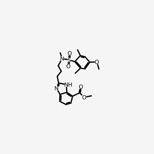 COC(=O)c1cccc2nc(CCCN(C)S(=O)(=O)c3c(C)cc(OC)cc3C)[nH]c12